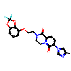 Cc1cn(-c2ccc3n(c2=O)CCN(CCOc2cccc4c2OC(F)(F)O4)C3=O)cn1